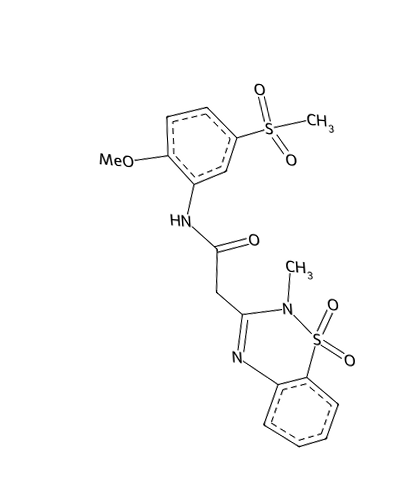 COc1ccc(S(C)(=O)=O)cc1NC(=O)CC1=Nc2ccccc2S(=O)(=O)N1C